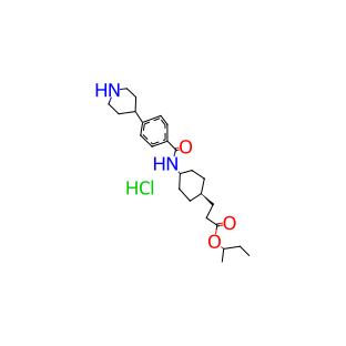 CCC(C)OC(=O)CC[C@H]1CC[C@H](NC(=O)c2ccc(C3CCNCC3)cc2)CC1.Cl